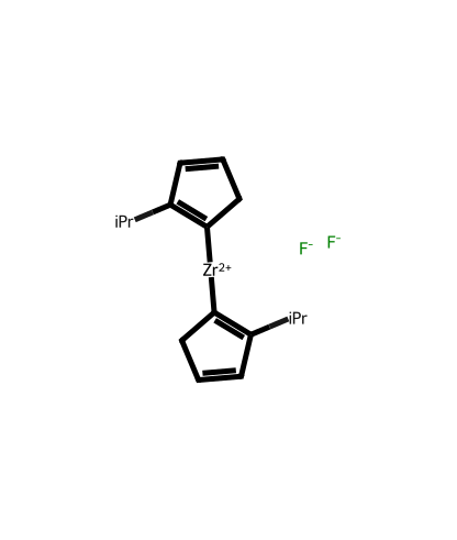 CC(C)C1=[C]([Zr+2][C]2=C(C(C)C)C=CC2)CC=C1.[F-].[F-]